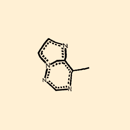 Cc1ncnn2ccnc12